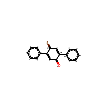 O=C1C=C(c2ccccc2)C(=S)C=C1c1ccccc1